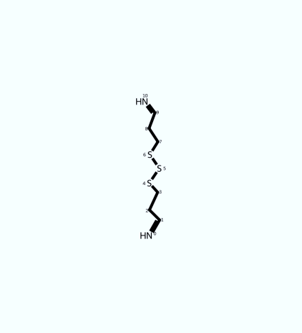 N=CCCSSSCCC=N